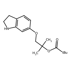 CC(C)(COc1ccc2c(c1)NCC2)OC(=O)C(C)(C)C